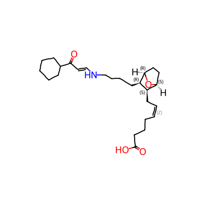 O=C(O)CCC/C=C\C[C@H]1[C@@H](CCCCNC=CC(=O)C2CCCCC2)[C@H]2CC[C@@H]1O2